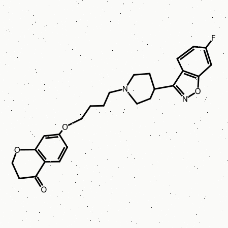 O=C1CCOc2cc(OCCCCN3CCC(c4noc5cc(F)ccc45)CC3)ccc21